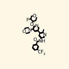 Cc1ncc(NC(=O)c2cccc(C(F)(F)F)c2)cc1-c1cnc(O[C@@H]2CCOC[C@@H]2F)c(N2CCOCC2)c1